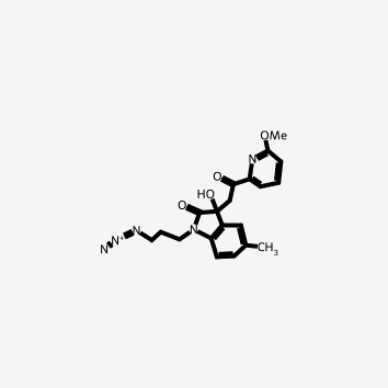 COc1cccc(C(=O)CC2(O)C(=O)N(CCCN=[N+]=[N-])c3ccc(C)cc32)n1